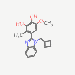 COc1cc(-c2nc3ccccc3n2CC2CCC2)c(C)c(O)c1O